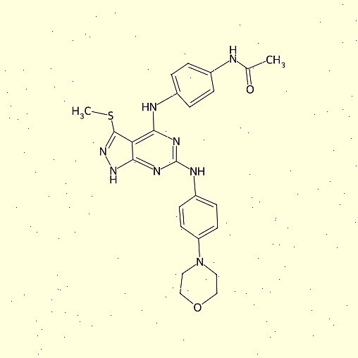 CSc1n[nH]c2nc(Nc3ccc(N4CCOCC4)cc3)nc(Nc3ccc(NC(C)=O)cc3)c12